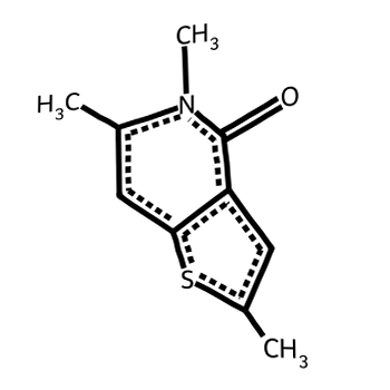 Cc1cc2c(=O)n(C)c(C)cc2s1